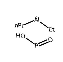 CC[CH2][Al][CH2]C.O=PO